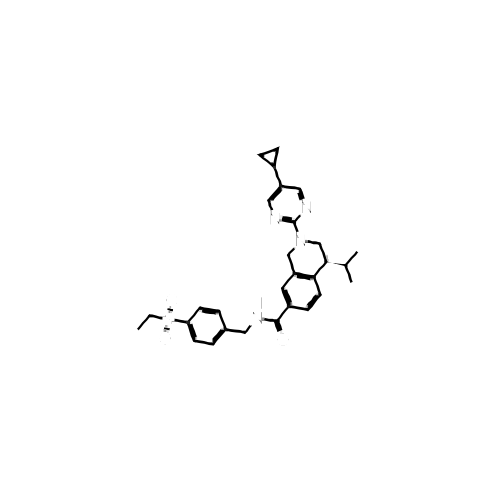 CCS(=O)(=O)c1ccc(CNC(=O)c2ccc3c(c2)CN(c2ncc(C4CC4)cn2)C[C@H]3C(C)C)cc1